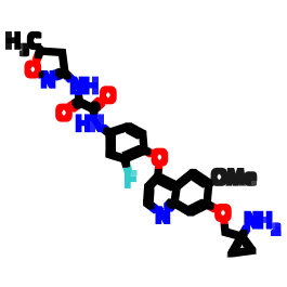 COc1cc2c(Oc3ccc(NC(=O)C(=O)NC4=NOC(C)C4)cc3F)ccnc2cc1OCC1(N)CC1